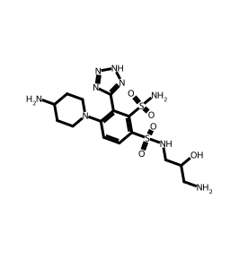 NCC(O)CNS(=O)(=O)c1ccc(N2CCC(N)CC2)c(-c2nn[nH]n2)c1S(N)(=O)=O